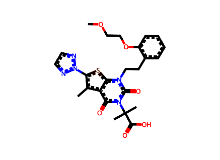 COCCOc1ccccc1CCn1c(=O)n(C(C)(C)C(=O)O)c(=O)c2c(C)c(-n3nccn3)sc21